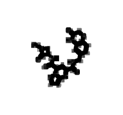 CC(C)N1C[C@H](NC(=O)c2cc(C(=O)NCc3ccc4c(c3)NC(=O)CO4)nc3ccnn23)C1=O